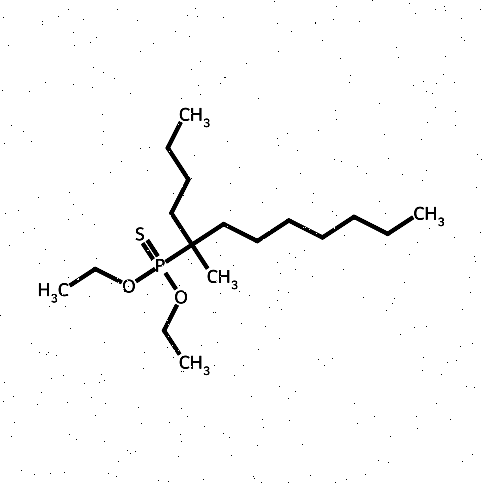 CCCCCCCC(C)(CCCC)P(=S)(OCC)OCC